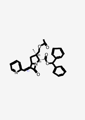 CC(=O)OC[C@]1(C)CC2/C(=C\c3ccccn3)C(=O)N2[C@H]1C(=O)OC(c1ccccc1)c1ccccc1